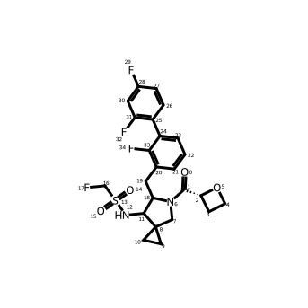 O=C([C@H]1CCO1)N1CC2(CC2)C(NS(=O)(=O)CF)C1Cc1cccc(-c2ccc(F)cc2F)c1F